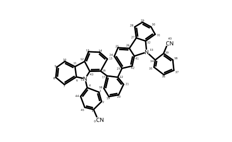 N#Cc1ccc(-n2c3ccccc3c3cccc(-c4ccccc4-c4ccc5c6ccccc6n(-c6ccccc6C#N)c5c4)c32)cc1